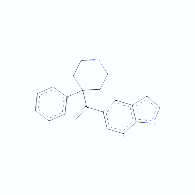 C=C(c1ccc2[nH]ccc2c1)C1(c2ccccc2)CCNCC1